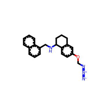 [N-]=[N+]=NCOc1ccc2c(c1)CCCC2NCc1cccc2ccccc12